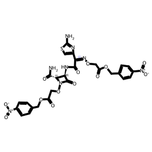 NC(=O)[C@@H]1[C@@H](NC(=O)/C(=N\OCC(=O)OCc2ccc([N+](=O)[O-])cc2)c2csc(N)n2)C(=O)N1OCC(=O)OCc1ccc([N+](=O)[O-])cc1